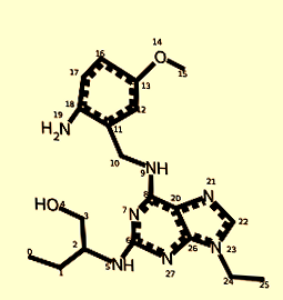 CCC(CO)Nc1nc(NCc2cc(OC)ccc2N)c2ncn(CC)c2n1